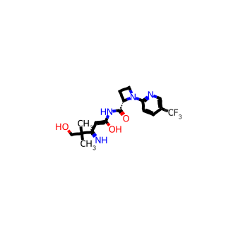 CC(C)(CO)C(=N)/C=C(\O)NC(=O)[C@@H]1CCN1c1ccc(C(F)(F)F)cn1